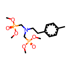 COP(=O)(CN(CCc1ccc(C)cc1)CP(=O)(OC)OC)OC